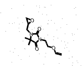 C=COCCN1C(=O)N(CC2CO2)C(C)(C)C1=O